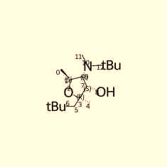 C[C@@H]1O[C@](C)(CC(C)(C)C)[C@@H](O)[C@H]1N(C)C(C)(C)C